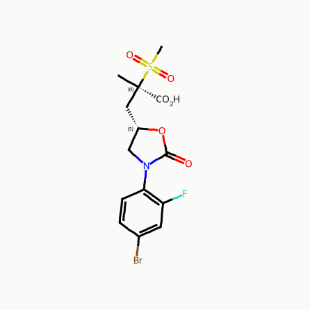 C[C@@](C[C@H]1CN(c2ccc(Br)cc2F)C(=O)O1)(C(=O)O)S(C)(=O)=O